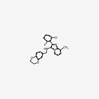 Cc1cccn2c(NCc3ccc4c(c3)OCCO4)c(-c3c(F)cccc3Cl)nc12